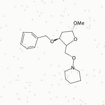 CO[C@H]1C[C@H](OCc2ccccc2)C(CON2CCCCC2)O1